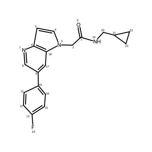 O=C(Cn1ccc2ncc(-c3ccc(F)cc3)cc21)NCC1CC1